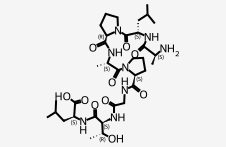 CC(C)C[C@H](NC(=O)[C@@H](NC(=O)CNC(=O)[C@@H]1CCCN1C(=O)[C@H](C)NC(=O)[C@H]1CCCN1C(=O)[C@H](CC(C)C)NC(=O)[C@H](C)N)[C@@H](C)O)C(=O)O